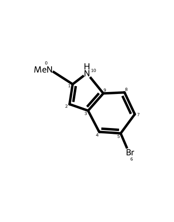 CNc1cc2cc(Br)ccc2[nH]1